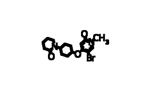 Cn1cc(Br)c(OC2CCC(N3CCCCC3=O)CC2)cc1=O